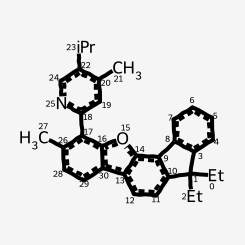 CCC1(CC)c2ccccc2-c2c1ccc1c2oc2c(-c3cc(C)c(C(C)C)cn3)c(C)ccc21